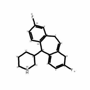 FC1=CC=C2C(=CCc3cc(F)ccc3C2C2CCCNC2)C1